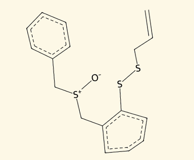 C=CCSSc1ccccc1C[S+]([O-])Cc1ccccc1